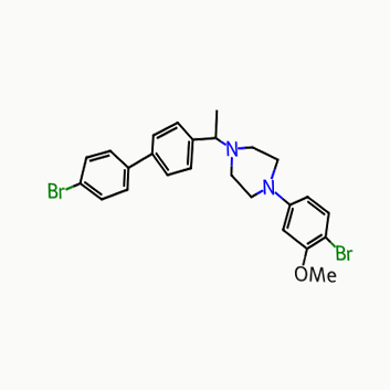 COc1cc(N2CCN(C(C)c3ccc(-c4ccc(Br)cc4)cc3)CC2)ccc1Br